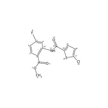 COC(=O)c1ccc(F)cc1NC(=O)c1ccc(Cl)s1